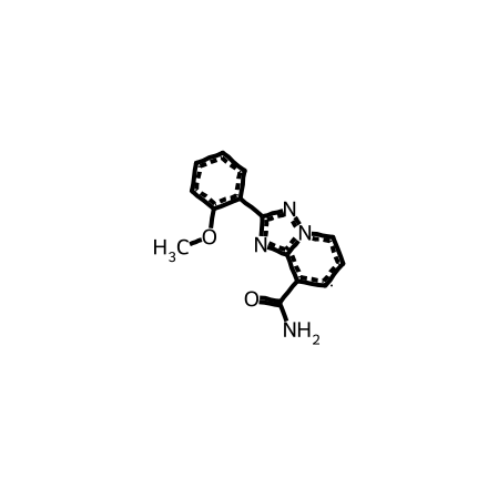 COc1ccccc1-c1nc2c(C(N)=O)[c]ccn2n1